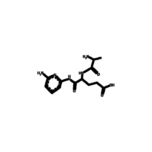 CC(N)C(=O)NC(CCC(=O)O)C(=O)Nc1cccc(N)n1